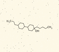 CCCCCC1(O)CCC(C2CCC(CCC)CC2)CC1